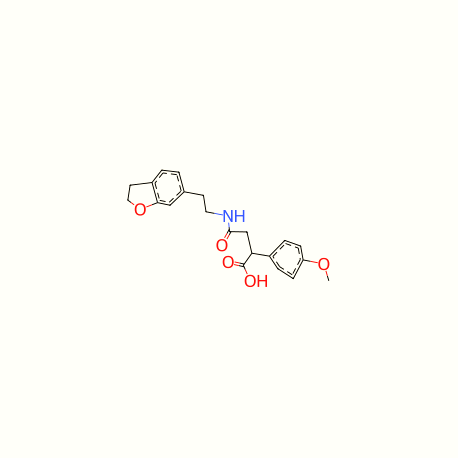 COc1ccc(C(CC(=O)NCCc2ccc3c(c2)OCC3)C(=O)O)cc1